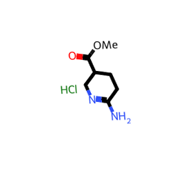 COC(=O)C1CCC(N)=NC1.Cl